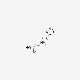 O=C(O)CC[n+]1ccc(-c2cccnn2)cn1